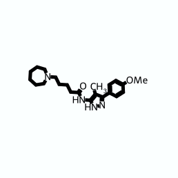 COc1ccc(-c2n[nH]c(NC(=O)CCCCN3CCCCCC3)c2C)cc1